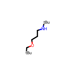 CC(C)(C)COCCCNC(C)(C)C